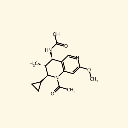 COc1cc2c(cn1)[C@H](NC(=O)O)[C@@H](C)[C@H](C1CC1)N2C(C)=O